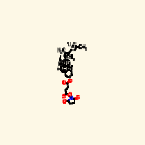 CC(C)CCC[C@@H](C)[C@H]1CC[C@H]2[C@@H]3CC=C4C[C@@H](OC(=O)CCC(=O)ON5C(=O)CCC5=O)CC[C@]4(C)[C@H]3CC[C@]12C